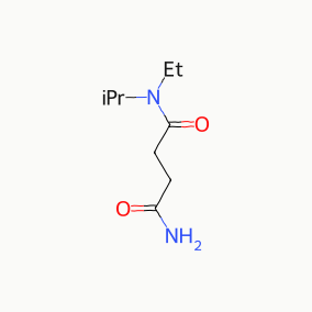 CCN(C(=O)CCC(N)=O)C(C)C